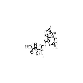 CC(CCCCOC(=O)N(CC1CC1)CC1CC1)NC(=O)O